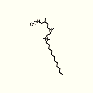 CCCCCCCCCCCC[N+](C)(C)CCN(C)CCC(C)CN=C=O